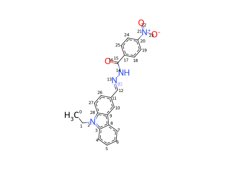 CCn1c2ccccc2c2cc(/C=N/NC(=O)c3ccc([N+](=O)[O-])cc3)ccc21